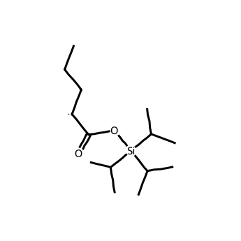 CCC[CH]C(=O)O[Si](C(C)C)(C(C)C)C(C)C